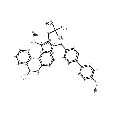 CCOc1ccc(-c2ccc(Cn3c(CC(C)(C)C(=O)O)c(SC(C)(C)C)c4cc(OC(C)c5ccccn5)ccc43)cc2)cn1